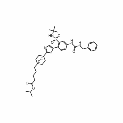 CC(C)OC(=O)CCCCC12CCC(c3ncc(-c4ccc(NC(=O)NCc5ccccc5)cc4S(=O)(=O)NC(C)(C)C)s3)(CC1)CC2